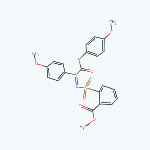 COC(=O)c1ccccc1S(=O)(=O)N=S(C(=O)Sc1ccc(OC)cc1)c1ccc(OC)cc1